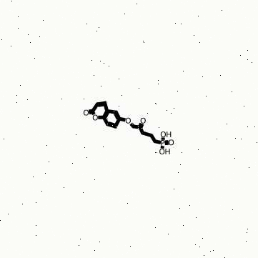 O=C(CCCP(=O)(O)O)COc1ccc2oc(=O)ccc2c1